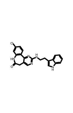 O=C1Cc2cnc(NCCc3c[nH]c4ccccc34)nc2-c2ccc(Cl)cc2N1